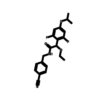 CCOC(C(=O)NCc1ccc(C#N)cc1)c1c(F)cc(OC(C)C)cc1F